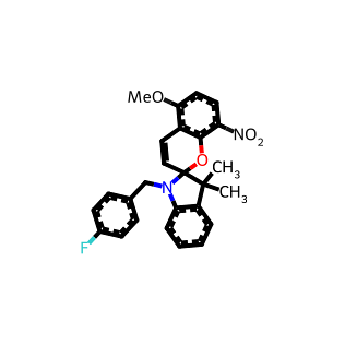 COc1ccc([N+](=O)[O-])c2c1C=CC1(O2)N(Cc2ccc(F)cc2)c2ccccc2C1(C)C